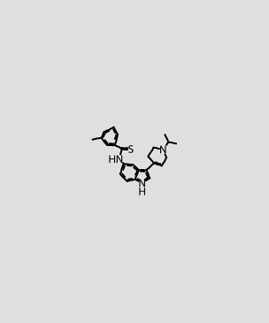 Cc1cccc(C(=S)Nc2ccc3[nH]cc(C4=CCN(C(C)C)CC4)c3c2)c1